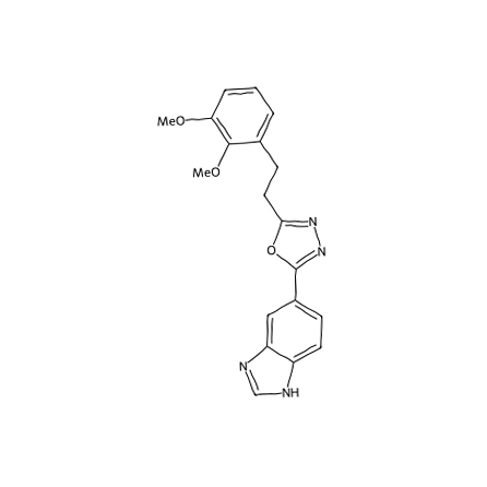 COc1cccc(CCc2nnc(-c3ccc4[nH]cnc4c3)o2)c1OC